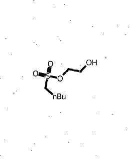 CCCCCS(=O)(=O)OCCO